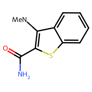 CNc1c(C(N)=O)sc2ccccc12